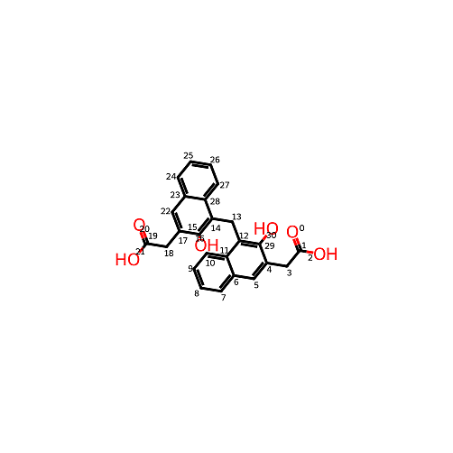 O=C(O)Cc1cc2ccccc2c(Cc2c(O)c(CC(=O)O)cc3ccccc23)c1O